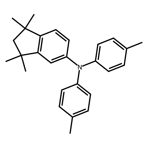 Cc1ccc(N(c2ccc(C)cc2)c2ccc3c(c2)C(C)(C)CC3(C)C)cc1